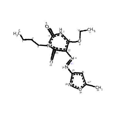 CCCCn1c(=O)[nH]c(OCC)c(/N=N/c2cc(C)on2)c1=O